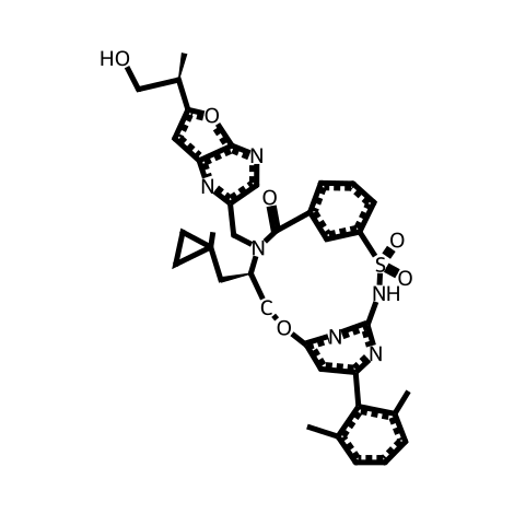 Cc1cccc(C)c1-c1cc2nc(n1)NS(=O)(=O)c1cccc(c1)C(=O)N(Cc1cnc3oc([C@H](C)CO)cc3n1)[C@H](CC1(C)CC1)CO2